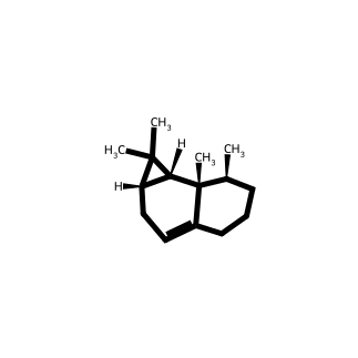 C[C@H]1CCCC2=CC[C@H]3[C@H](C3(C)C)[C@@]21C